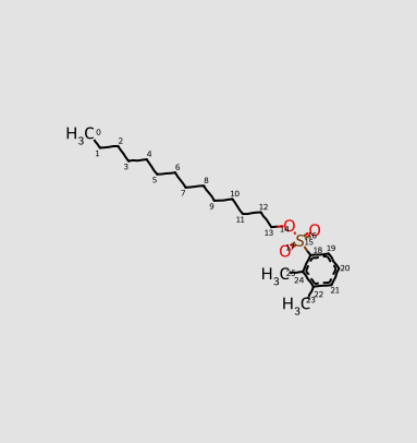 CCCCCCCCCCCCCCOS(=O)(=O)c1cccc(C)c1C